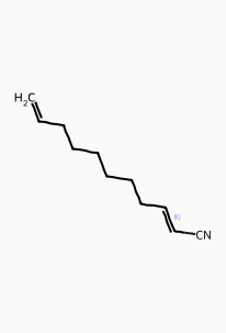 C=CCCCCCC/C=C/C#N